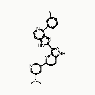 Cc1cccc(-c2nccc3[nH]c(-c4n[nH]c5ccc(-c6cncc(N(C)C)c6)nc45)nc23)c1